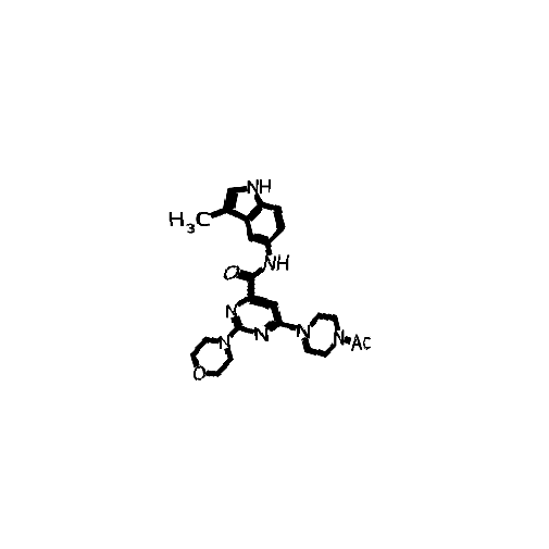 CC(=O)N1CCN(c2cc(C(=O)Nc3ccc4[nH]cc(C)c4c3)nc(N3CCOCC3)n2)CC1